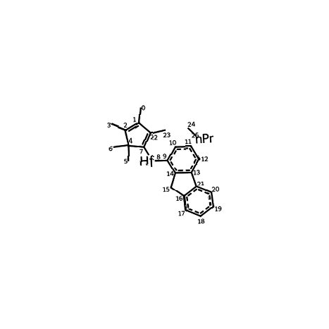 CC1=C(C)C(C)(C)[C]([Hf][c]2cccc3c2Cc2ccccc2-3)=C1C.CCCC